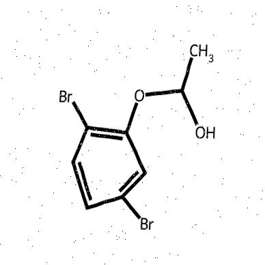 CC(O)Oc1cc(Br)ccc1Br